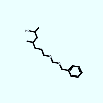 CC(O)CC(C)CCCOCOCc1ccccc1